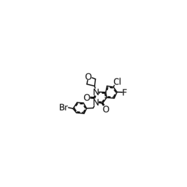 O=c1c2cc(F)c(Cl)cc2n(C2COC2)c(=O)n1Cc1ccc(Br)cc1